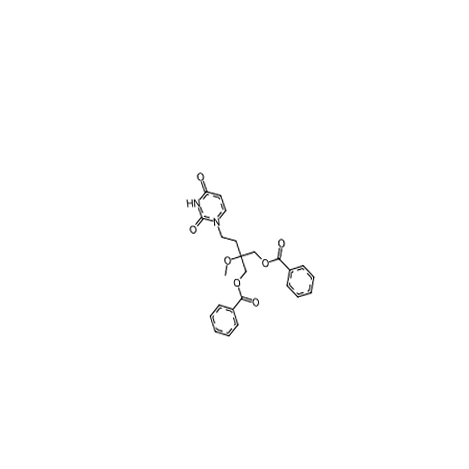 COC(CCn1ccc(=O)[nH]c1=O)(COC(=O)c1ccccc1)COC(=O)c1ccccc1